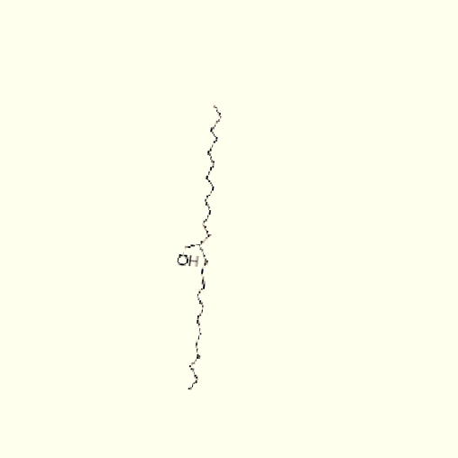 CCCCCCCCCCCCC(CO)CCCCCCCCCCCC